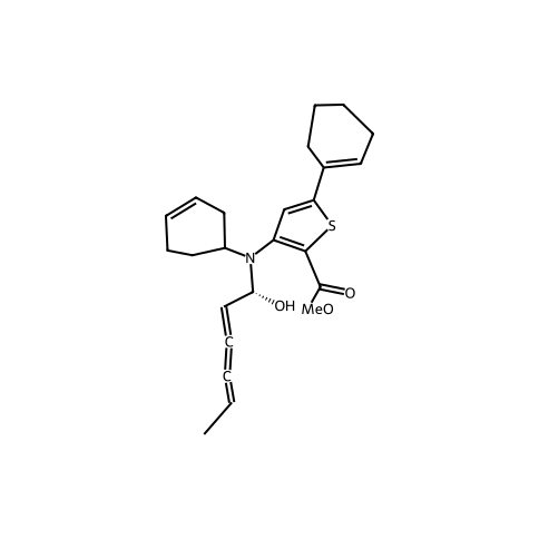 CC=C=C=C[C@@H](O)N(c1cc(C2=CCCCC2)sc1C(=O)OC)C1CC=CCC1